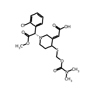 COC(=O)[C@H](c1ccccc1Cl)N1CCC(SCOC(=O)N(C)C)/C(=C/C(=O)O)C1